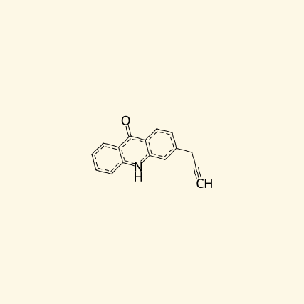 C#CCc1ccc2c(=O)c3ccccc3[nH]c2c1